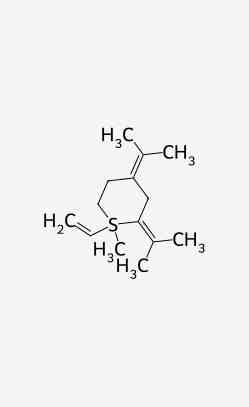 C=CS1(C)CCC(=C(C)C)CC1=C(C)C